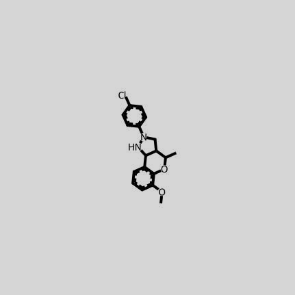 COc1cccc2c1OC(C)C1CN(c3ccc(Cl)cc3)NC21